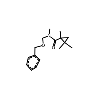 CN(COCc1ccccc1)C(=O)C1(C)CC1(C)C